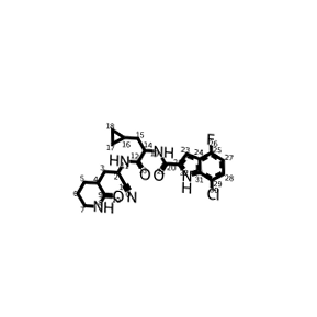 N#CC(CC1CCCNC1=O)NC(=O)C(CC1CC1)NC(=O)c1cc2c(F)ccc(Cl)c2[nH]1